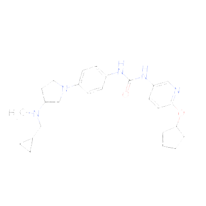 CN(CC1CC1)C1CCN(c2ccc(NC(=O)Nc3ccc(OC4CCCC4)nc3)cc2)C1